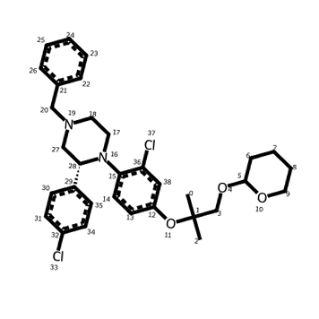 CC(C)(COC1CCCCO1)Oc1ccc(N2CCN(Cc3ccccc3)C[C@H]2c2ccc(Cl)cc2)c(Cl)c1